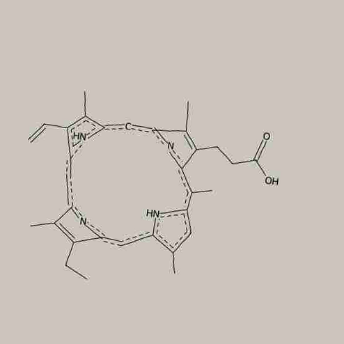 C=Cc1c(C)c2cc3nc(c(C)c4cc(C)c(cc5nc(cc1[nH]2)C(C)=C5CC)[nH]4)C(CCC(=O)O)=C3C